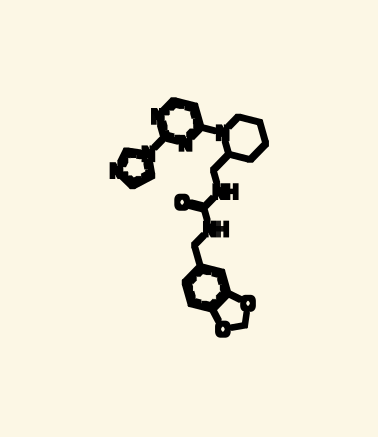 O=C(NCc1ccc2c(c1)OCO2)NCC1CCCCN1c1ccnc(-n2ccnc2)n1